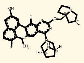 CCc1c(F)ccc2cc(O)cc(-c3c(Cl)cc4c(N5C[C@H]6CC[C@@H](C5)N6)nc(OC[C@@]56CCCN5C[C@H](F)C6)nc4c3F)c12